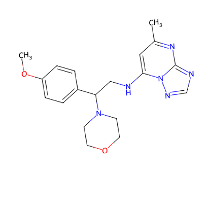 COc1ccc(C(CNc2cc(C)nc3ncnn23)N2CCOCC2)cc1